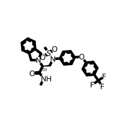 CNC(=O)[C@H](CN(c1ccc(Oc2ccc(C(F)(F)F)cc2)cc1)S(C)(=O)=O)N1Cc2ccccc2C1